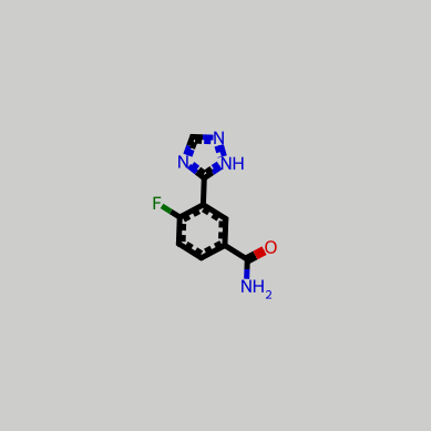 NC(=O)c1ccc(F)c(-c2ncn[nH]2)c1